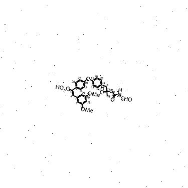 COc1cc(/C=C(/C(=O)O)c2ccc(Oc3ccc(CC(C)(O)SC(=O)NC=O)cc3)cc2)cc(OC)c1